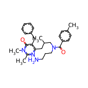 Cc1ccc(C(=O)N(CCCN)CC(C)Cc2nc(C)n(C)c(=O)c2Cc2ccccc2)cc1